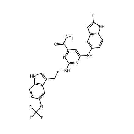 Cc1cc2cc(Nc3cc(C(N)=O)nc(NCCc4c[nH]c5ccc(OC(F)(F)F)cc45)n3)ccc2[nH]1